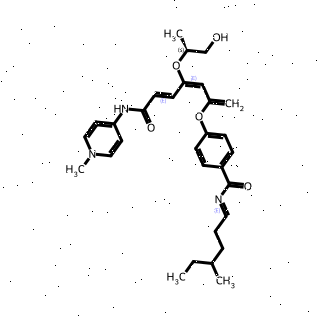 C=C(/C=C(\C=C\C(=O)NC1=C=CN(C)C=C1)O[C@@H](C)CO)Oc1ccc(C(=O)/N=C/CCC(C)CC)cc1